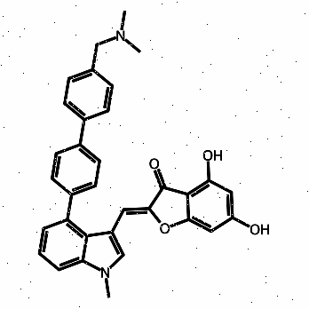 CN(C)Cc1ccc(-c2ccc(-c3cccc4c3c(/C=C3\Oc5cc(O)cc(O)c5C3=O)cn4C)cc2)cc1